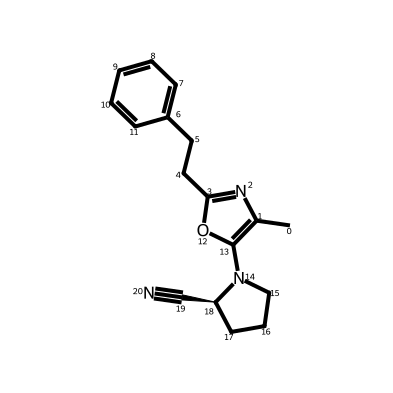 Cc1nc(CCc2ccccc2)oc1N1CCC[C@H]1C#N